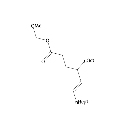 CCCCCCC/C=C/C(CCCCCCCC)CCC(=O)OCOC